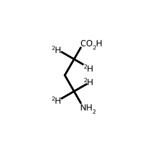 [2H]C([2H])(N)CC([2H])([2H])C(=O)O